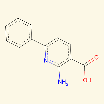 Nc1nc(-c2ccccc2)ccc1C(=O)O